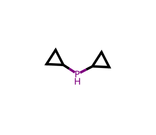 C1CC1PC1CC1